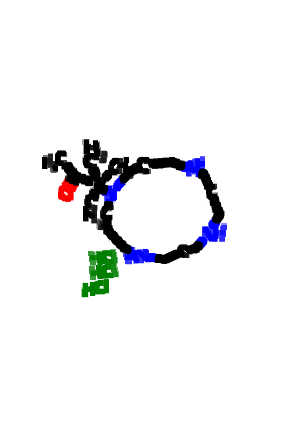 C[C](=O)[Ti]([CH3])([CH3])([CH3])[N]1CCCNCCCNCCCNCCC1.Cl.Cl.Cl